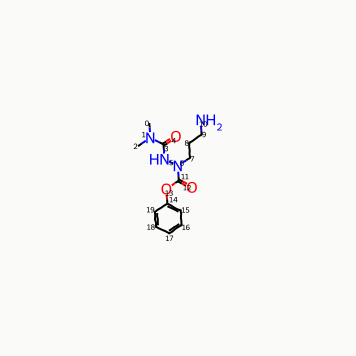 CN(C)C(=O)NN(CCCN)C(=O)Oc1ccccc1